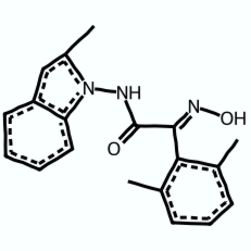 Cc1cccc(C)c1C(=NO)C(=O)Nn1c(C)cc2ccccc21